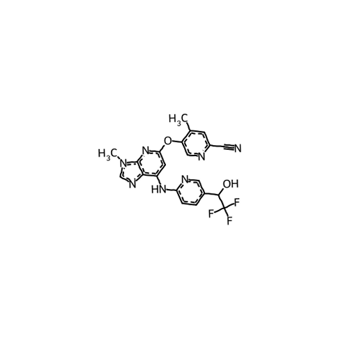 Cc1cc(C#N)ncc1Oc1cc(Nc2ccc(C(O)C(F)(F)F)cn2)c2ncn(C)c2n1